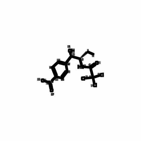 CC[C@H](NC(=O)C(Cl)(Cl)Cl)[C@H](O)c1ccc([N+](=O)[O-])cc1